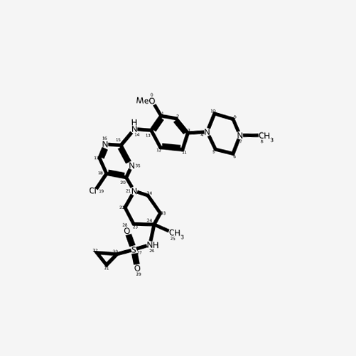 COc1cc(N2CCN(C)CC2)ccc1Nc1ncc(Cl)c(N2CCC(C)(NS(=O)(=O)C3CC3)CC2)n1